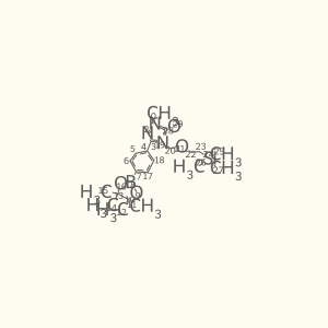 Cn1nc(-c2ccc(B3OC(C)(C)C(C)(C)O3)cc2)n(COCC[Si](C)(C)C)c1=O